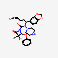 CCC1(CC)C(=O)N(C(=O)N(C(CCC=C=O)c2ccc3c(c2)OCO3)N2CCNCC2)C1Oc1ccccc1